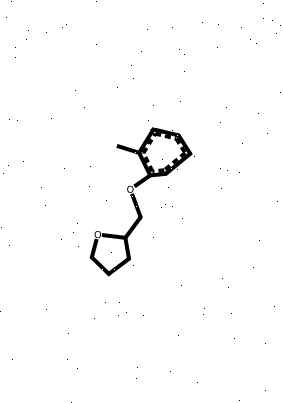 Cc1[c]cccc1OCC1CCCO1